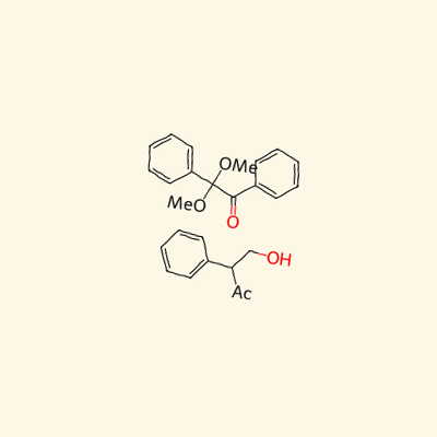 CC(=O)C(CO)c1ccccc1.COC(OC)(C(=O)c1ccccc1)c1ccccc1